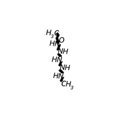 CCCNCCNCCNCCNCCNC(=O)CCC